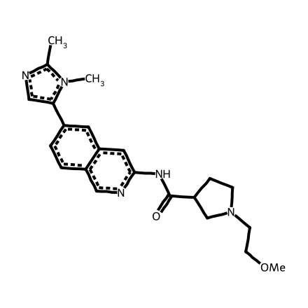 COCCN1CCC(C(=O)Nc2cc3cc(-c4cnc(C)n4C)ccc3cn2)C1